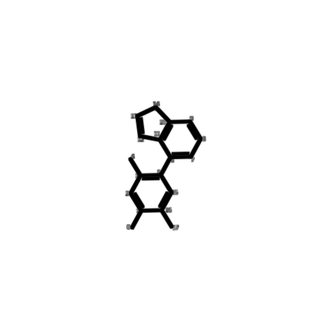 Cc1cc(C)c(-c2cccc3c2C=C[CH]3)cc1C